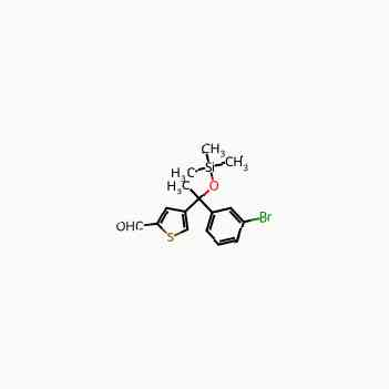 CC(O[Si](C)(C)C)(c1cccc(Br)c1)c1csc(C=O)c1